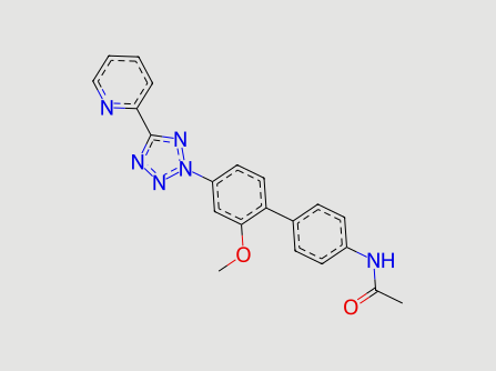 COc1cc(-n2nnc(-c3ccccn3)n2)ccc1-c1ccc(NC(C)=O)cc1